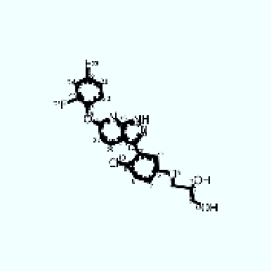 OCC(O)COc1ccc(Cl)c(-c2n[nH]c3nc(Oc4ccc(F)cc4F)ccc23)c1